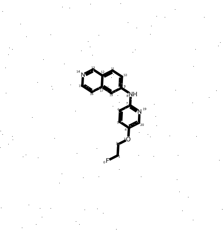 FCCOc1ccc(Nc2ccc3cnccc3c2)nc1